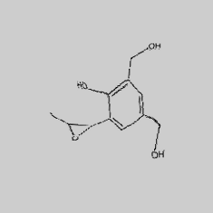 CC1OC1c1cc(CO)cc(CO)c1O